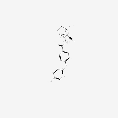 N#CN1[C@H]2CC[C@@H]1[C@H](NC(=O)c1ccc(Oc3ccc(Cl)cn3)cc1)C2